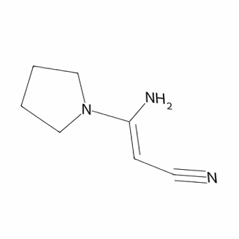 N#CC=C(N)N1CCCC1